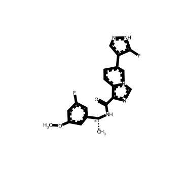 COc1cc(F)cc([C@@H](C)NC(=O)c2ncn3cc(-c4cn[nH]c4F)ccc23)c1